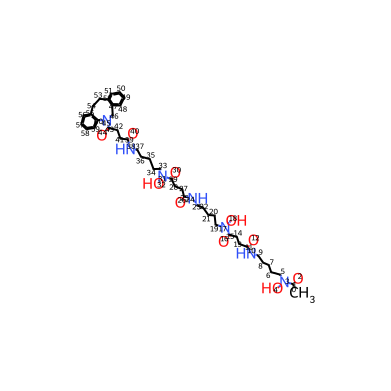 CC(=O)N(O)CCCCCNC(=O)CCC(=O)N(O)CCCCCNC(=O)CCC(=O)N(O)CCCCCNC(=O)CCC(=O)N1Cc2ccccc2CCc2ccccc21